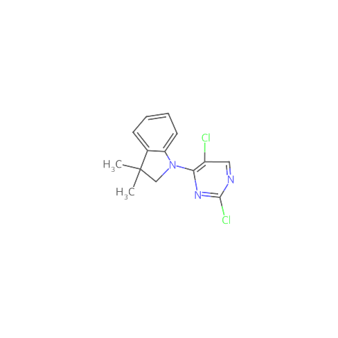 CC1(C)CN(c2nc(Cl)ncc2Cl)c2ccccc21